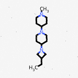 CCC1CN(C2CCN(C3CCN(C)CC3)CC2)C1